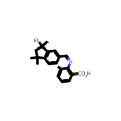 CCC1(C)CC(C)(C)c2ccc(/C=N\c3c(C)cccc3C(=O)O)cc21